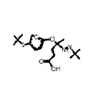 CC(C)(C)/N=N/C(C)(CCC(=O)O)Oc1ccc(SC(C)(C)C)cc1